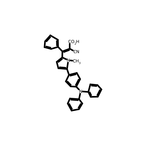 Cn1c(C(=C(C#N)C(=O)O)c2ccccc2)ccc1-c1ccc(N(c2ccccc2)c2ccccc2)cc1